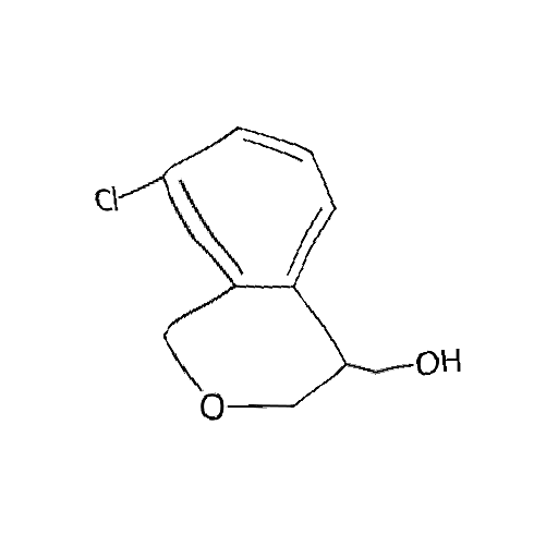 OC1COCc2c(Cl)cccc21